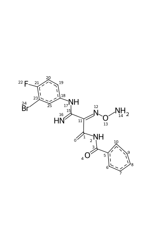 C=C(NC(=O)c1ccccc1)/C(=N\ON)C(=N)Nc1ccc(F)c(Br)c1